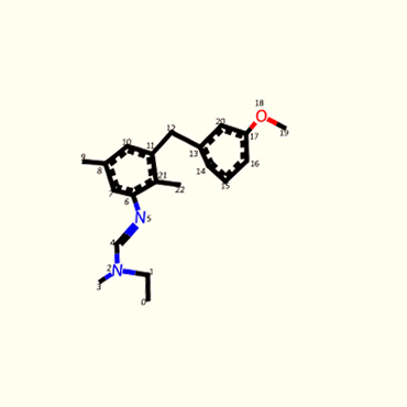 CCN(C)C=Nc1cc(C)cc(Cc2cccc(OC)c2)c1C